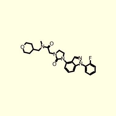 CN(CC1CCOCC1)C(=O)CN1CCN(c2cccc3c2cnn3-c2ccccc2F)C1=O